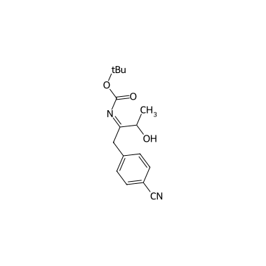 CC(O)/C(Cc1ccc(C#N)cc1)=N\C(=O)OC(C)(C)C